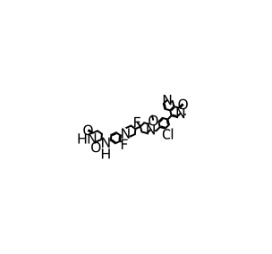 COc1cc(-c2cn(C)c(=O)c3cnccc23)cc(Cl)c1CN1CCC(F)(C2CCN(c3ccc(NC4CCC(=O)NC4=O)cc3F)CC2)CC1